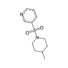 C[C]1CCN(S(=O)(=O)c2cccnc2)CC1